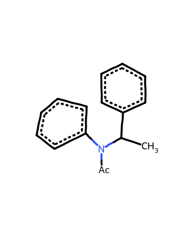 CC(=O)N(c1ccccc1)C(C)c1ccccc1